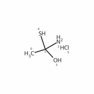 CC(N)(O)S.Cl